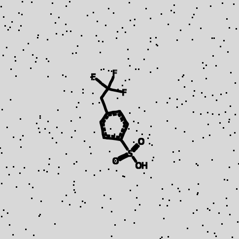 O=S(=O)(O)c1ccc(CC(F)(F)F)cc1